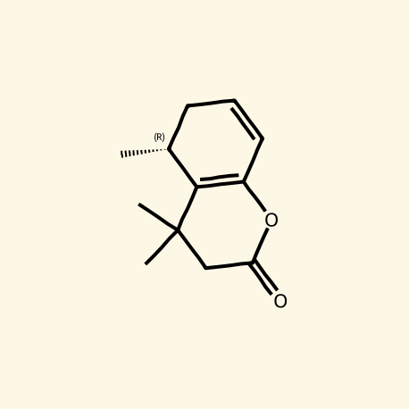 C[C@@H]1CC=CC2=C1C(C)(C)CC(=O)O2